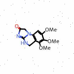 COc1cc2c(c(OC)c1OC)CNC1=NC(=O)CN12